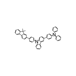 CC1(C)c2ccccc2-c2ccc(-c3ccc(-n4c5ccccc5c5cc(-c6ccc(N(c7ccccc7)c7ccccc7)cc6)ccc54)cc3)cc21